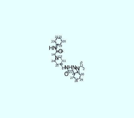 CC(C)n1nc(C(=O)NCC2CCN(CC(=O)Nc3ccccc3)CC2)c2ccccc21